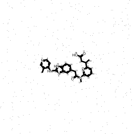 Cc1cnccc1Nc1nc2cc(CC(=O)N(C)c3cccc(C(C)CC(=O)O)n3)ccc2[nH]1